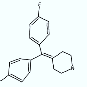 Fc1ccc(C(=C2CC[N]CC2)c2ccc(F)cc2)cc1